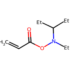 C=CC(=O)ON(CC)C(CC)CC